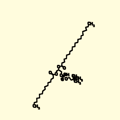 CCCCCCCCCCCCCCCCCCCCCC(=O)O[C@H](COC(=O)CCCCCCCCCCCCCCC)COP(=O)(O)OCC[N+](C)(C)C